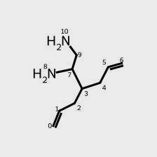 C=CCC(CC=C)C(N)CN